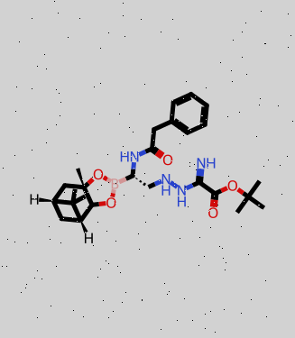 CC(C)(C)OC(=O)C(=N)NNC[C@@H](NC(=O)Cc1ccccc1)B1OC2[C@@H]3C[C@H](C[C@]2(C)O1)C3(C)C